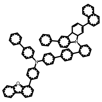 C1=CC2c3cc(-c4ccccc4)ccc3N(c3ccccc3-c3ccc(-c4ccc(N(c5ccc(-c6ccccc6)cc5)c5ccc(-c6cccc7c6oc6ccccc67)cc5)cc4)cc3)C2C=C1c1cccc2ccccc12